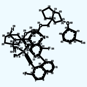 CC(C)[Si](C#Cc1c(F)ccc2cccc(-c3ncc4c(N5C[C@H]6CC[C@@H](C5)N6C(=O)OC(C)(C)C)nc(OC[C@@]56CCCN5C[C@H](Oc5cccc(I)c5)C6)nc4c3F)c12)(C(C)C)C(C)C